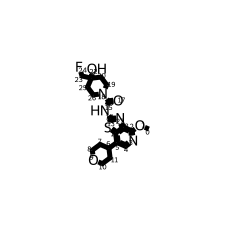 COc1ncc(C2CCOCC2)c2sc(NC(=O)N3CCC(O)(CF)CC3)nc12